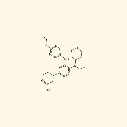 CCOc1ncc(Nc2cc(C(CC)CC(=O)O)ccc2N(CC)C2CCOCC2)cn1